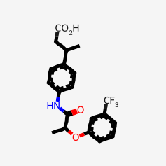 CC(Oc1cccc(C(F)(F)F)c1)C(=O)Nc1ccc(C(C)CC(=O)O)cc1